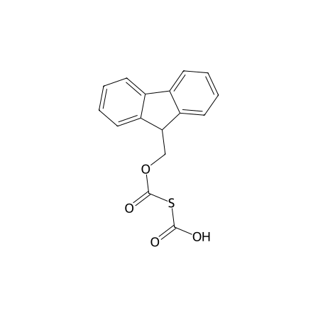 O=C(O)SC(=O)OCC1c2ccccc2-c2ccccc21